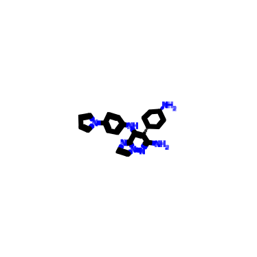 Nc1nn2ccnc2c(Nc2ccc(-n3cccc3)cc2)c1[C@H]1CC[C@@H](N)CC1